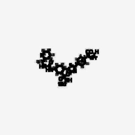 CC(C)N(C(=O)O)C12CCC(c3ncc(-c4ccc(NC(=O)N[C@H](C)c5ccccn5)cc4S(=O)(=O)NC(C)(C)C)s3)(CC1)CC2